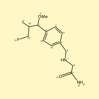 COC(c1ccc(CNCC(N)=O)cc1)C(C)CF